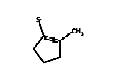 CC1=C([S])CCC1